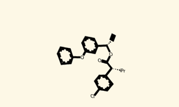 C#C[C@H](OC(=O)[C@@H](c1ccc(Cl)cc1)C(C)C)c1cccc(Oc2ccccc2)c1